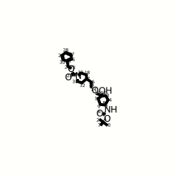 CC(C)(C)OC(=O)NC1CCC(O)(COCCC2CCN(C(=O)OCc3ccccc3)CC2)CC1